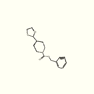 O=C(OCc1ccccc1)N1CCC(C2OCCO2)CC1